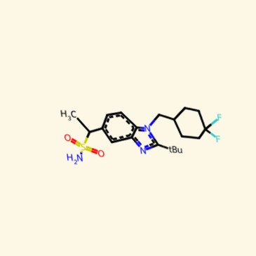 CC(c1ccc2c(c1)nc(C(C)(C)C)n2CC1CCC(F)(F)CC1)S(N)(=O)=O